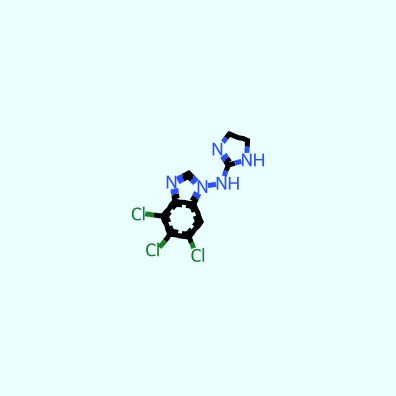 Clc1cc2c(ncn2NC2=NCCN2)c(Cl)c1Cl